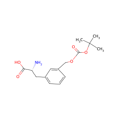 CC(C)(C)OC(=O)OCc1cccc(C[C@@H](N)C(=O)O)c1